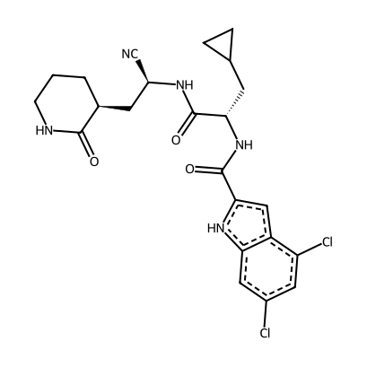 N#C[C@H](C[C@@H]1CCCNC1=O)NC(=O)[C@H](CC1CC1)NC(=O)c1cc2c(Cl)cc(Cl)cc2[nH]1